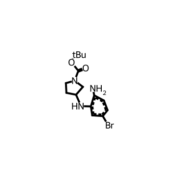 CC(C)(C)OC(=O)N1CCC(Nc2cc(Br)ccc2N)C1